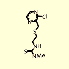 CNC(=S)NCCSCc1nccnc1Cl